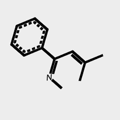 C/N=C(\C=C(C)C)c1ccccc1